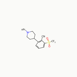 CCCN1CCC(c2cccc(S(=O)(=O)C(F)(F)F)c2C#N)CC1